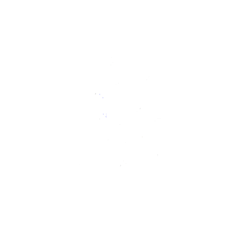 Cc1c(Cl)nnc(C2(c3ccccc3)SCCS2)c1C